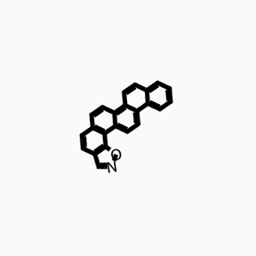 c1ccc2c(c1)ccc1c2ccc2c1ccc1ccc3cnoc3c12